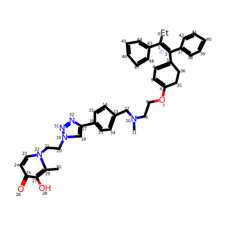 CC/C(=C(/C1=CC=C(OCCN(C)Cc2ccc(-c3cn(CCn4ccc(=O)c(O)c4C)nn3)cc2)CC1)c1ccccc1)c1ccccc1